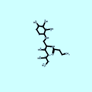 CCCC(=O)NC(CNC1CCC(O)C(O)C1O)C(O)CC(O)CC